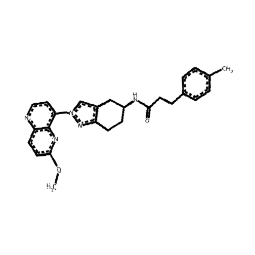 COc1ccc2nccc(-n3cc4c(n3)CCC(NC(=O)CCc3ccc(C)cc3)C4)c2n1